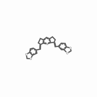 C(=C1CCc2cc3c(nc21)C(=Cc1ccc2c(c1)OCO2)CC3)c1ccc2c(c1)OCO2